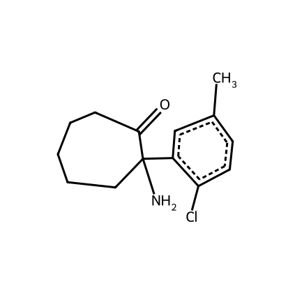 Cc1ccc(Cl)c(C2(N)CCCCCC2=O)c1